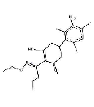 CCC/C(=N\OCC)C1=C(O)CC(c2c(C)cc(C)c(N)c2C)CC1=O